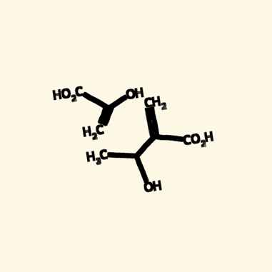 C=C(C(=O)O)C(C)O.C=C(O)C(=O)O